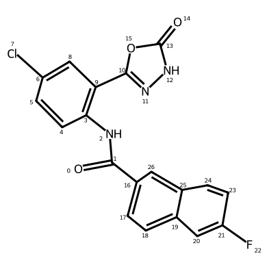 O=C(Nc1ccc(Cl)cc1-c1n[nH]c(=O)o1)c1ccc2cc(F)ccc2c1